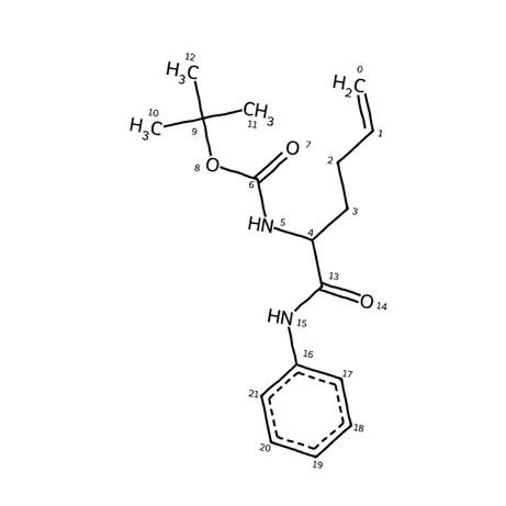 C=CCCC(NC(=O)OC(C)(C)C)C(=O)Nc1ccccc1